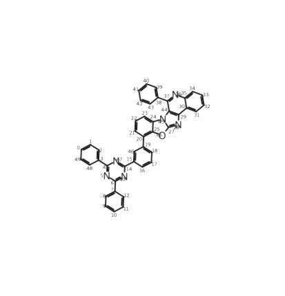 c1ccc(-c2nc(-c3ccccc3)nc(-c3cccc(-c4cccc5c4oc4nc6c7ccccc7nc(-c7ccccc7)c6n45)c3)n2)cc1